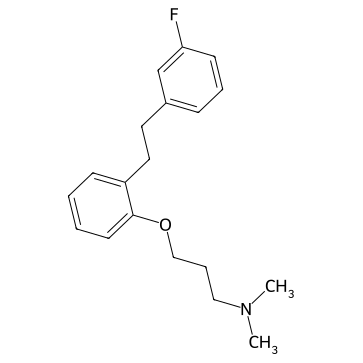 CN(C)CCCOc1ccccc1CCc1cccc(F)c1